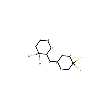 FC1(F)CCC([CH]C2CCCCC2(F)F)CC1